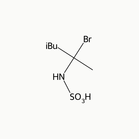 CCC(C)C(C)(Br)NS(=O)(=O)O